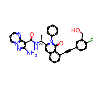 C[C@H](NC(=O)c1c(N)nn2cccnc12)c1cc2cccc(C#Cc3ccc(F)c(CO)c3)c2c(=O)n1-c1ccccc1